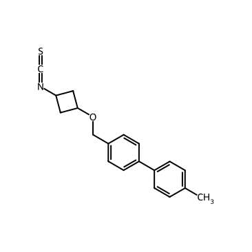 Cc1ccc(-c2ccc(COC3CC(N=C=S)C3)cc2)cc1